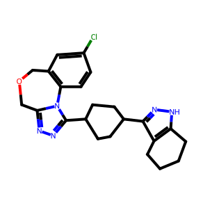 Clc1ccc2c(c1)COCc1nnc(C3CCC(c4n[nH]c5c4CCCC5)CC3)n1-2